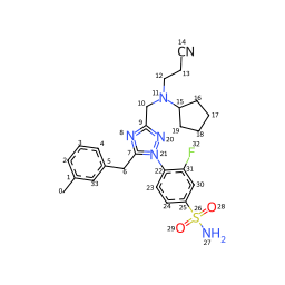 Cc1cccc(Cc2nc(CN(CCC#N)C3CCCC3)nn2-c2ccc(S(N)(=O)=O)cc2F)c1